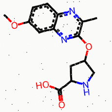 COc1ccc2nc(C)c(OC3CNC(C(=O)O)C3)nc2c1